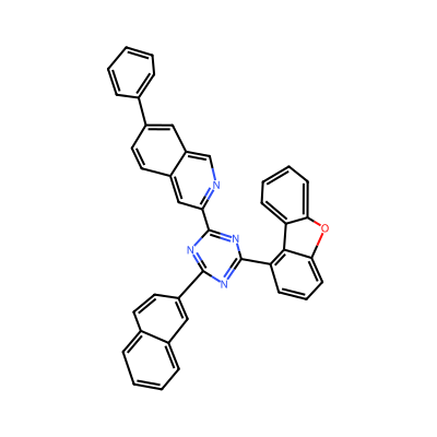 c1ccc(-c2ccc3cc(-c4nc(-c5ccc6ccccc6c5)nc(-c5cccc6oc7ccccc7c56)n4)ncc3c2)cc1